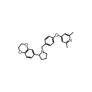 Cc1cc(Oc2ccc(CN3CCCC3c3ccc4c(c3)OCCO4)cc2)cc(C)n1